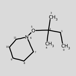 CCC(C)(C)ON1CCCCC1